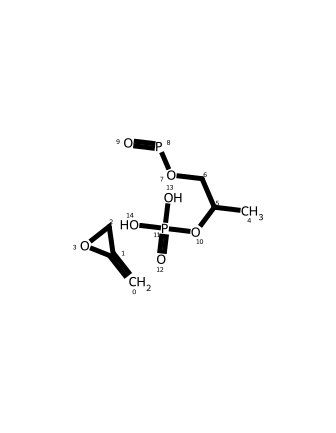 C=C1CO1.CC(COP=O)OP(=O)(O)O